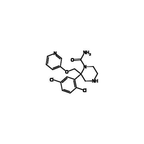 NC(=O)N1CCNCC1(COc1cccnc1)c1cc(Cl)ccc1Cl